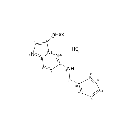 CCCCCCc1cnc2ccc(NCc3ccccn3)nn12.Cl